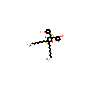 CCCCCCCCc1sc(CCCCCCCC)c2c1C(=O)c1c(-c3cccc(O)c3)sc(-c3cccc(O)c3)c1C2=O